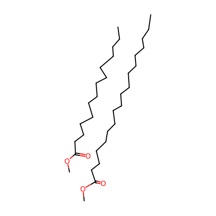 CCCCCCCCCCCCCC(=O)OC.CCCCCCCCCCCCCCCCCC(=O)OC